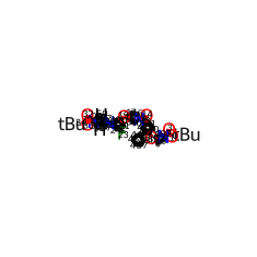 CC(C)(C)OC(=O)N1CC[C@H](Oc2ccc(C(=O)N3CCC(Oc4cc(F)cc(N5C[C@H]6CN(C(=O)OC(C)(C)C)C[C@H]6C5)c4)CC3)cc2C2CCCCC2)C1